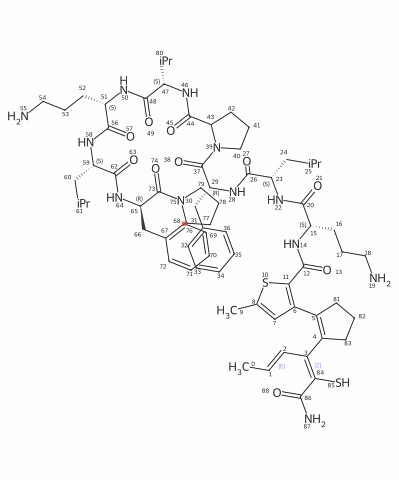 C/C=C/C(C1=C(c2cc(C)sc2C(=O)N[C@@H](CCCN)C(=O)N[C@@H](CC(C)C)C(=O)N[C@H](Cc2ccccc2)C(=O)N2CCCC2C(=O)N[C@H](C(=O)N[C@@H](CCCN)C(=O)N[C@@H](CC(C)C)C(=O)N[C@H](Cc2ccccc2)C(=O)N2CCCC2)C(C)C)CCC1)=C(/S)C(N)=O